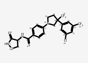 O=C1NOCC1NC(=S)c1ccc(N2CCC(c3cc(Cl)cc(C(F)(F)F)c3)(C(F)(F)F)C2)cc1